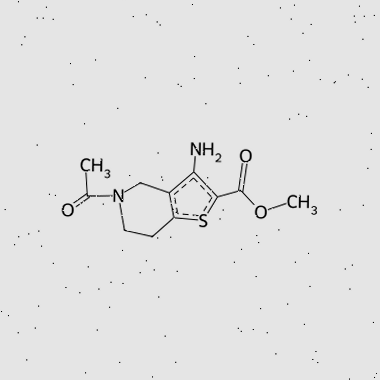 COC(=O)c1sc2c(c1N)CN(C(C)=O)CC2